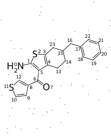 Nc1sc2c(c1C(=O)c1ccsc1)CCC(Cc1ccccc1)C2